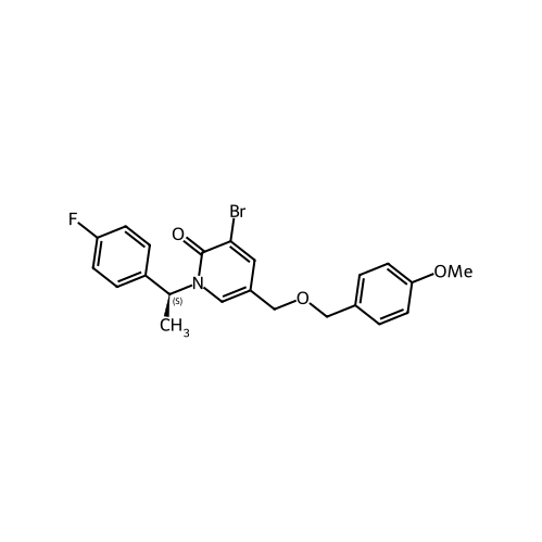 COc1ccc(COCc2cc(Br)c(=O)n([C@@H](C)c3ccc(F)cc3)c2)cc1